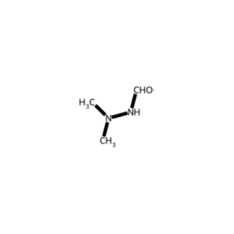 CN(C)N[C]=O